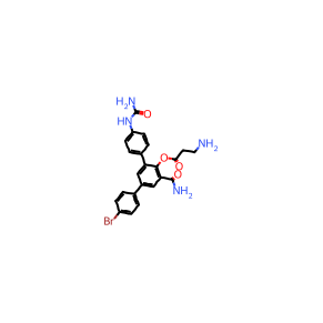 NCCC(=O)Oc1c(C(N)=O)cc(-c2ccc(Br)cc2)cc1-c1ccc(NC(N)=O)cc1